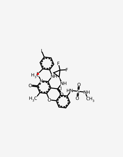 CNS(=O)(=O)Nc1cccc(Oc2c(C(=O)N[C@H]3CC3(F)F)c(Nc3ccc(I)cc3F)n(C)c(=O)c2C)c1Cl